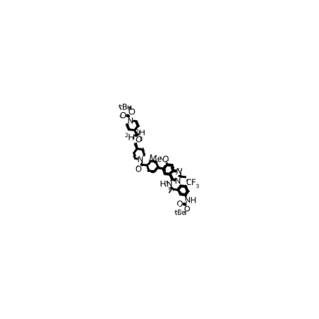 [2H]C([2H])(OCC1CCN(C(=O)C2CCC(c3cc4c(N[C@H](C)c5cc(NC(=O)OC(C)(C)C)cc(C(F)(F)F)c5)nc(C)nc4cc3OC)CC2)CC1)C1CCN(C(=O)OC(C)(C)C)CC1